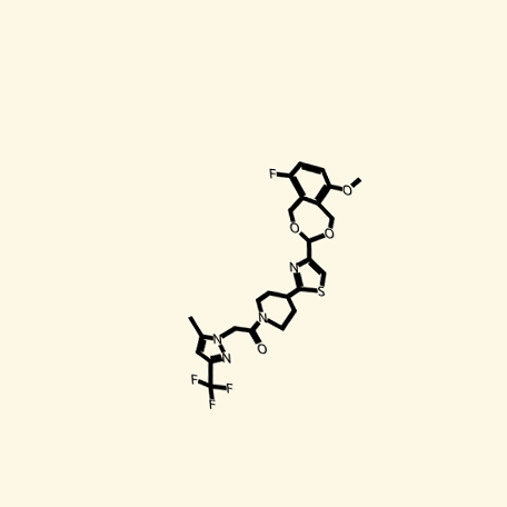 COc1ccc(F)c2c1COC(c1csc(C3CCN(C(=O)Cn4nc(C(F)(F)F)cc4C)CC3)n1)OC2